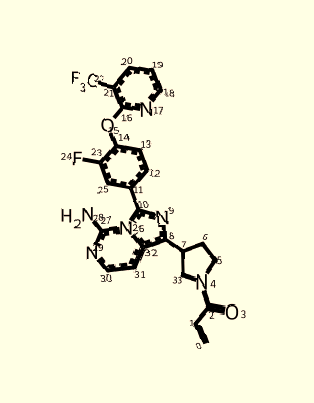 C=CC(=O)N1CCC(c2nc(-c3ccc(Oc4ncccc4C(F)(F)F)c(F)c3)n3c(N)nccc23)C1